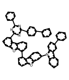 c1ccc(-c2ccc(-c3nc(-c4ccccc4)nc(-c4cccc5oc6c(-c7cccc8oc9cc(-n%10c%11ccccc%11c%11cc(-c%12ccccc%12)ccc%11%10)ccc9c78)cccc6c45)n3)cc2)cc1